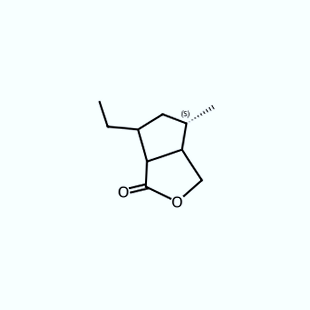 CCC1C[C@H](C)C2COC(=O)C12